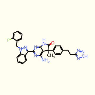 CC1(c2ccc(CCc3nn[nH]n3)cc2)C(=O)Nc2nc(-c3nn(Cc4ccccc4F)c4ccccc34)nc(N)c21